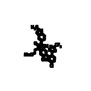 COCCC(C(=O)Nc1ccc2nn(C)cc2c1)N1C=C(OC)C(c2cc(Cl)ccc2-c2nnc(C(F)(F)F)o2)=CC1O